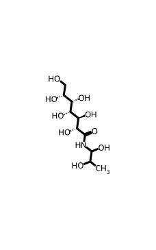 CC(O)C(O)NC(=O)[C@H](O)[C@H](O)[C@H](O)[C@@H](O)[C@H](O)CO